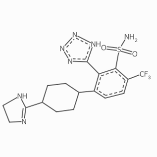 NS(=O)(=O)c1c(C(F)(F)F)ccc(C2CCC(C3=NCCN3)CC2)c1-c1nnn[nH]1